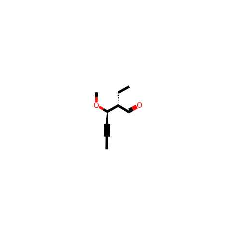 CC#C[C@@H](OC)[C@@H](C=O)CC